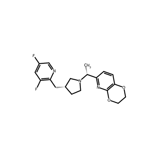 C[C@H](c1ccc2c(n1)OCCO2)N1CC[C@H](Cc2ncc(F)cc2F)C1